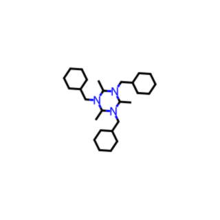 CC1N(CC2CCCCC2)C(C)N(CC2CCCCC2)C(C)N1CC1CCCCC1